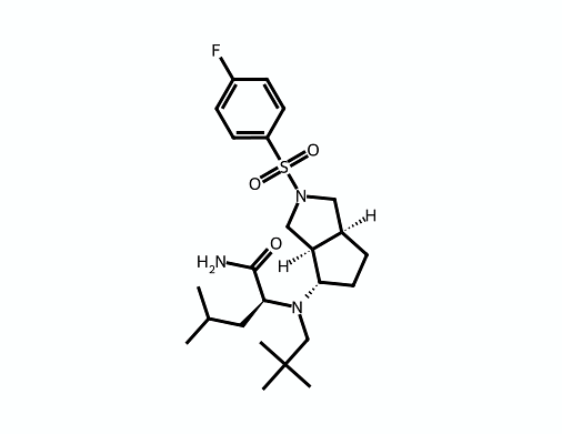 CC(C)C[C@@H](C(N)=O)N(CC(C)(C)C)[C@H]1CC[C@@H]2CN(S(=O)(=O)c3ccc(F)cc3)C[C@@H]21